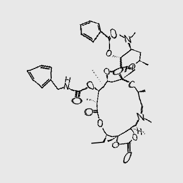 CC[C@H]1OC(=O)[C@H](C)[C@@H](OC(=O)NCc2ccccc2)[C@H](C)[C@@H](O[C@@H]2O[C@H](C)C[C@H](N(C)C)[C@H]2OC(=O)c2ccccc2)[C@](C)(O)C[C@@H](C)CN(C)[C@H](C)[C@H]2OC(=O)O[C@@]21C